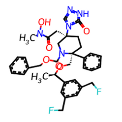 C[C@@H](OC[C@@]1(c2ccccc2)CC[C@](CC(=O)N(C)O)(n2cn[nH]c2=O)CN1C(=O)OCc1ccccc1)c1cc(CF)cc(CF)c1